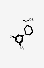 CN(C)[C@@H]1CCC[C@H](c2cc(Cl)cc(C(F)(F)F)c2)C1